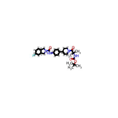 CC(C)(C)OC(=O)NC(C)(C)C(=O)N1CC=C(c2ccc(NC(=O)N3Cc4ccc(F)cc4C3)cc2)CC1